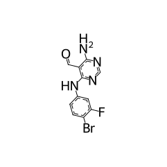 Nc1ncnc(Nc2ccc(Br)c(F)c2)c1C=O